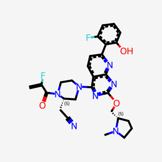 C=C(F)C(=O)N1CCN(c2nc(OC[C@@H]3CCCN3C)nc3nc(-c4c(O)cccc4F)ccc23)C[C@@H]1CC#N